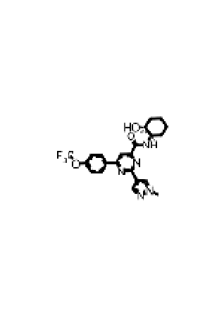 Cn1cc(-c2nc(C(=O)N[C@@H]3CCCC[C@H]3O)cc(-c3ccc(OC(F)(F)F)cc3)n2)cn1